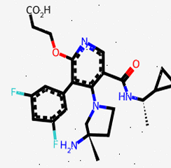 C[C@H](NC(=O)c1cnc(OCCC(=O)O)c(-c2cc(F)cc(F)c2)c1N1CC[C@](C)(N)C1)C1CC1